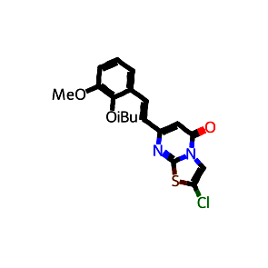 COc1cccc(C=Cc2cc(=O)n3cc(Cl)sc3n2)c1OCC(C)C